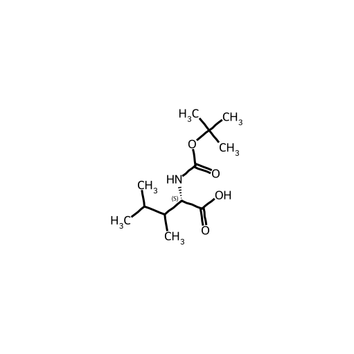 CC(C)C(C)[C@H](NC(=O)OC(C)(C)C)C(=O)O